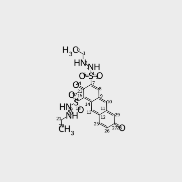 CCNNS(=O)(=O)C1=Cc2cc3c(cc2=C(S(=O)(=O)NNCC)C1=O)C=CC(=O)C=3